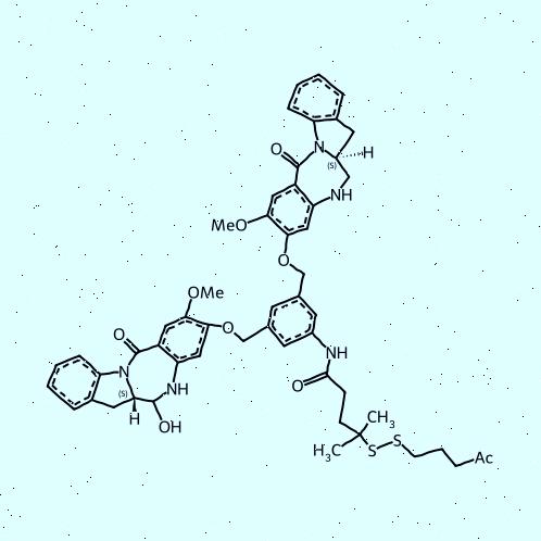 COc1cc2c(cc1OCc1cc(COc3cc4c(cc3OC)C(=O)N3c5ccccc5C[C@H]3C(O)N4)cc(NC(=O)CCC(C)(C)SSCCCC(C)=O)c1)NC[C@@H]1Cc3ccccc3N1C2=O